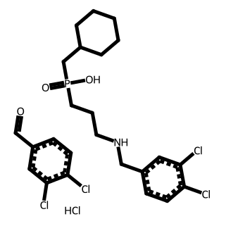 Cl.O=Cc1ccc(Cl)c(Cl)c1.O=P(O)(CCCNCc1ccc(Cl)c(Cl)c1)CC1CCCCC1